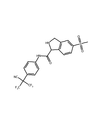 CS(=O)(=O)c1ccc2c(c1)CNC2C(=O)Nc1ccc(C(C#N)(C(F)(F)F)C(F)(F)F)cc1